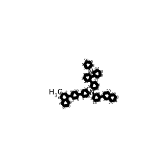 CC1C=C(c2ccc(-c3ccc(N(c4cccc(-c5ccc6ccccc6c5)c4)c4cccc(-c5cccc6c5c5ccccc5n6-c5ccccc5)c4)cc3)cc2)c2ccccc2C1